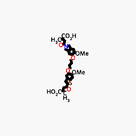 COc1cc2c(cc1OCCCCOc1cc3cc(C(=O)C[C@H](C)C(=O)O)sc3cc1OC)CN(C(=O)C[C@H](C)C(=O)O)C2